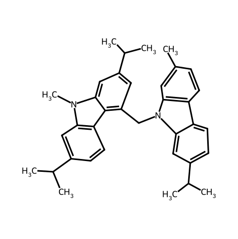 Cc1ccc2c3ccc(C(C)C)cc3n(Cc3cc(C(C)C)cc4c3c3ccc(C(C)C)cc3n4C)c2c1